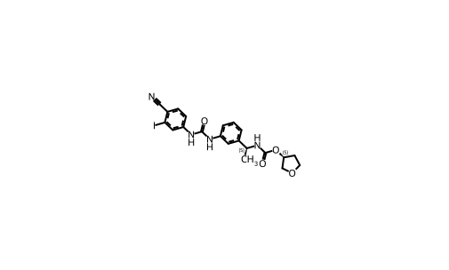 C[C@H](NC(=O)O[C@H]1CCOC1)c1cccc(NC(=O)Nc2ccc(C#N)c(I)c2)c1